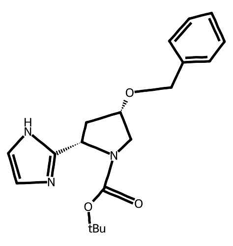 CC(C)(C)OC(=O)N1C[C@@H](OCc2ccccc2)C[C@H]1c1ncc[nH]1